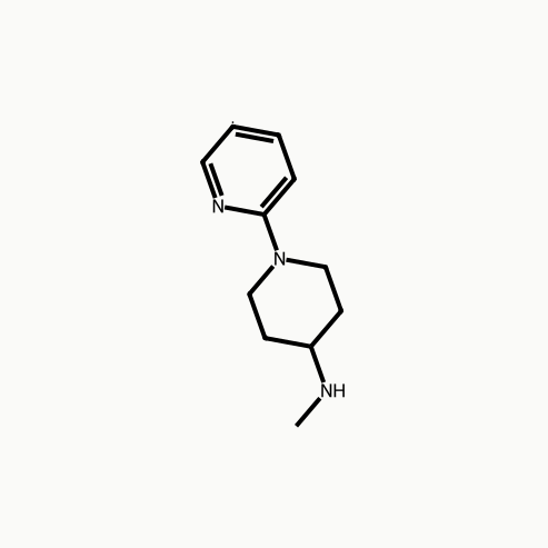 CNC1CCN(c2cc[c]cn2)CC1